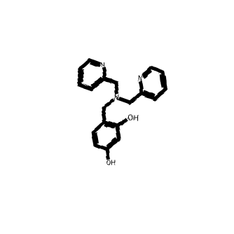 Oc1ccc(CN(Cc2ccccn2)Cc2ccccn2)c(O)c1